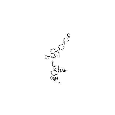 CCc1c(C#CCNc2ccc(S(N)(=O)=O)cc2OC)sc2c(NC3CCC(N4CCC5(CC4)COC5)CC3)cccc12